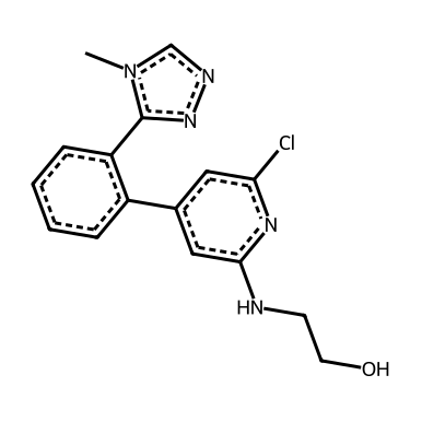 Cn1cnnc1-c1ccccc1-c1cc(Cl)nc(NCCO)c1